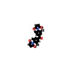 CCc1cc(C(=O)c2cc(C)c(N3C(=O)C=CC3=O)c(CC)c2)cc(C)c1N1C(=O)C=CC1=O